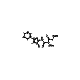 CSCC(=O)C(SC)C(=O)Nc1cn(-c2cccnc2)nc1Cl